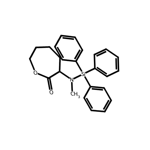 CN(C1CCCCOC1=O)[Si](c1ccccc1)(c1ccccc1)c1ccccc1